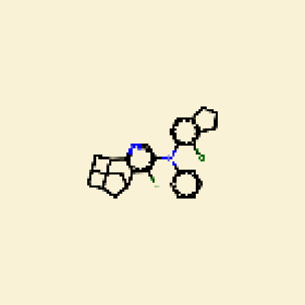 Clc1c(N(c2ccccc2)c2cnc3c(c2Cl)C2CC4CC5CC3C45C2)ccc2c1CCC2